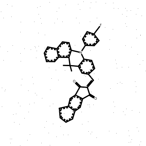 CC1(C)c2cc(C=C3C(=O)c4cc5ccccc5cc4C3=O)ccc2N(c2ccc(F)cc2)c2ccc3ccccc3c21